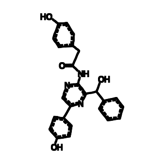 O=C(Cc1ccc(O)cc1)Nc1ncc(-c2ccc(O)cc2)nc1C(O)c1ccccc1